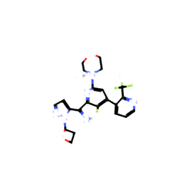 C[C@@H]1COCCN1c1cc(-c2cccnc2C(F)(F)F)c2snc(-c3ccnn3C3CCO3)c2n1